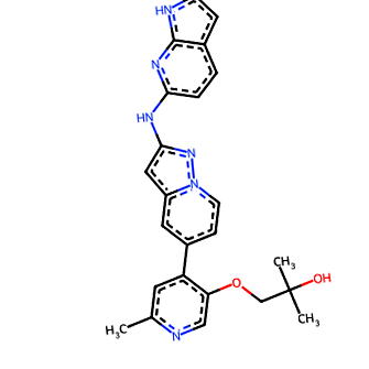 Cc1cc(-c2ccn3nc(Nc4ccc5cc[nH]c5n4)cc3c2)c(OCC(C)(C)O)cn1